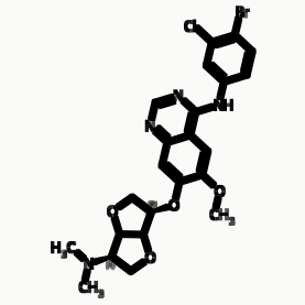 COc1cc2c(Nc3ccc(Br)c(Cl)c3)ncnc2cc1O[C@@H]1COC2C1OC[C@H]2N(C)C